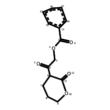 O=C(OCC(=O)C1CCCOC1=O)c1ccccc1